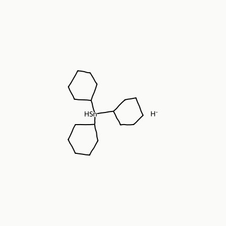 C1CC[CH]([SnH]([CH]2CCCCC2)[CH]2CCCCC2)CC1.[H-]